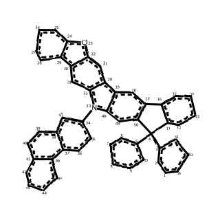 c1ccc(C2(c3ccccc3)c3ccccc3-c3cc4c5cc6oc7ccccc7c6cc5n(-c5ccc6c(ccc7ccccc76)c5)c4cc32)cc1